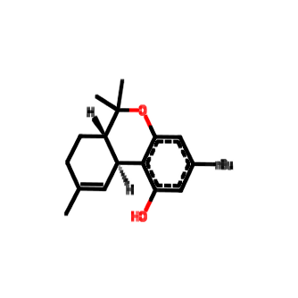 CCCCc1cc(O)c2c(c1)OC(C)(C)[C@H]1CCC(C)=C[C@H]21